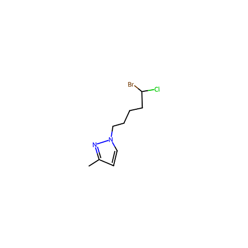 Cc1ccn(CCCCC(Cl)Br)n1